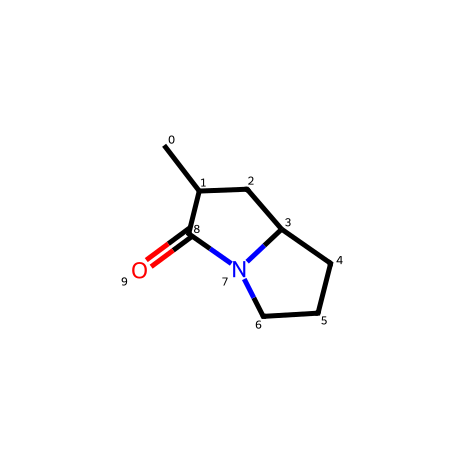 CC1CC2CCCN2C1=O